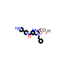 O=C(O)C[C@H]1Nc2ccc(C(=O)N3CCC(C4CCNCC4)CC3)cc2CN(CCC2CCCCC2)C1=O